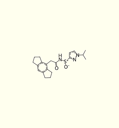 CC(C)n1ccc([S+]([O-])NC(=O)Cc2c3c(cc4c2CCC4)CCC3)n1